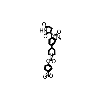 Cn1c(=O)n(C2CCC(=O)NC2=O)c2ccc(C3CCN(C(=O)Oc4ccc([N+](=O)[O-])cc4)CC3)cc21